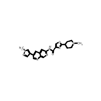 CN1CCC(c2nc(C(=O)Nc3cc4cc(-c5cnn(C)c5)cnc4cn3)co2)CC1